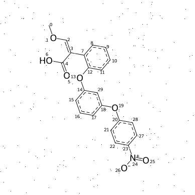 COC=C(C(=O)O)c1ccccc1Oc1cccc(Oc2ccc([N+](=O)[O-])cc2)c1